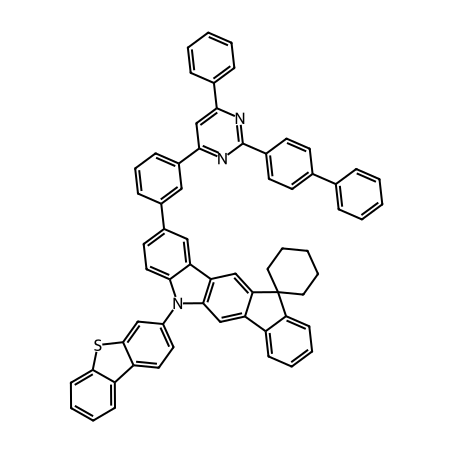 c1ccc(-c2ccc(-c3nc(-c4ccccc4)cc(-c4cccc(-c5ccc6c(c5)c5cc7c(cc5n6-c5ccc6c(c5)sc5ccccc56)-c5ccccc5C75CCCCC5)c4)n3)cc2)cc1